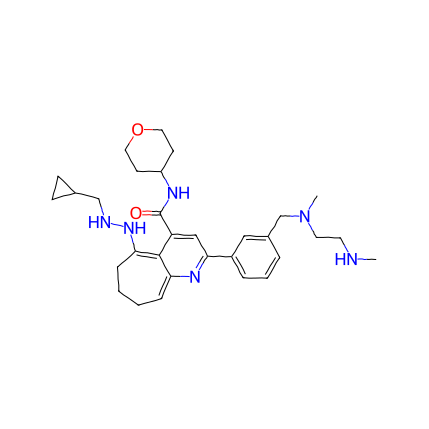 CNCCN(C)Cc1cccc(-c2cc(C(=O)NC3CCOCC3)c3c(n2)=CCCCC=3NNCC2CC2)c1